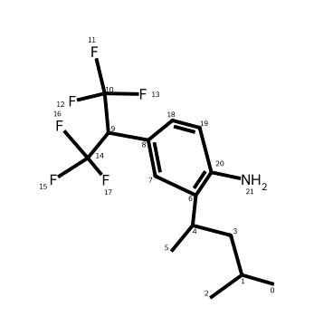 CC(C)CC(C)c1cc(C(C(F)(F)F)C(F)(F)F)ccc1N